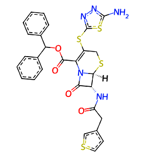 Nc1nnc(SC2=C(C(=O)OC(c3ccccc3)c3ccccc3)N3C(=O)[C@@H](NC(=O)Cc4ccsc4)[C@@H]3SC2)s1